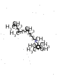 C/C(=C\Cc1c(C)c(O)cc(C)c1O)CCCCCCC(C)CCCC(C)CCCC(C)C